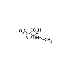 C=CCNC(=O)c1cccc([N+](=O)[O-])c1C(=O)O